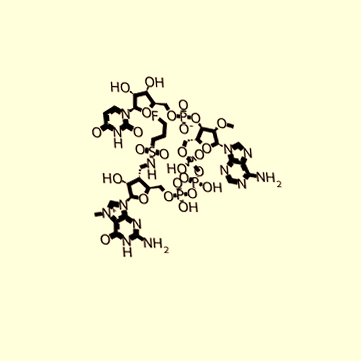 CO[C@@H]1[C@H](OP(=O)([O-])OC[C@H]2O[C@@H](n3ccc(=O)[nH]c3=O)[C@H](O)[C@@H]2O)[C@@H](COP(=O)(O)OP(=O)(O)OP(=O)(O)OC[C@H]2O[C@@H](n3c[n+](C)c4c(=O)[nH]c(N)nc43)[C@H](O)[C@@H]2CNS(=O)(=O)CCCF)O[C@H]1n1cnc2c(N)ncnc21